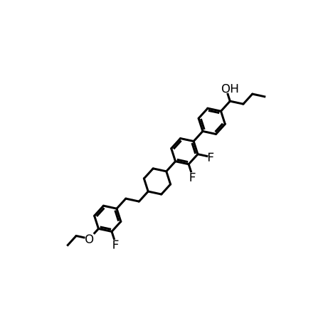 CCCC(O)c1ccc(-c2ccc(C3CCC(CCc4ccc(OCC)c(F)c4)CC3)c(F)c2F)cc1